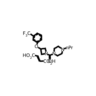 CCCN1CCN(C(=O)N2CC(Oc3cccc(C(F)(F)F)c3)C2)CC1.O=C(O)C=CC(=O)O